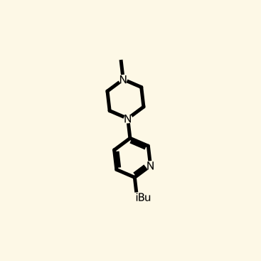 CCC(C)c1ccc(N2CCN(C)CC2)cn1